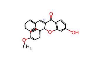 COc1ccc(C2Oc3cc(O)ccc3C(=O)/C2=C/c2ccccc2)cc1